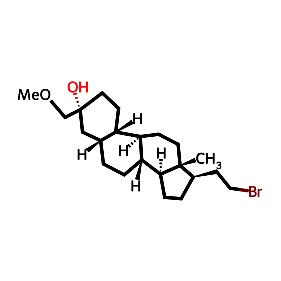 COC[C@@]1(O)CC[C@H]2[C@H](CC[C@@H]3[C@@H]2CC[C@]2(C)[C@@H](CCBr)CC[C@@H]32)C1